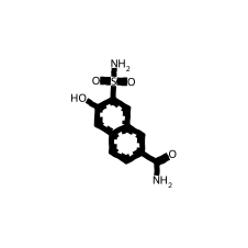 NC(=O)c1ccc2cc(O)c(S(N)(=O)=O)cc2c1